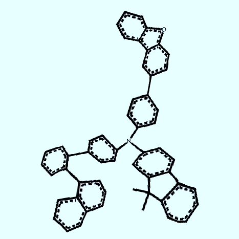 CC1(C)c2ccccc2-c2ccc(N(c3ccc(-c4ccc5oc6ccccc6c5c4)cc3)c3ccc(-c4ccccc4-c4cccc5ccccc45)cc3)cc21